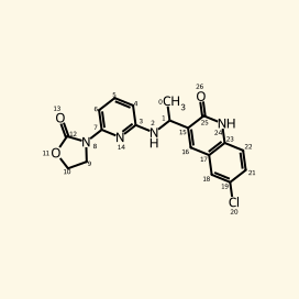 CC(Nc1cccc(N2CCOC2=O)n1)c1cc2cc(Cl)ccc2[nH]c1=O